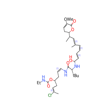 CCNC(=O)OC(C/C=C\NC(=O)C(NC(O)/C=C/C=C\C(C)=C\C(C)C1CC=C(OC)C(=O)O1)C(C)(C)C)C/C=C(\C)Cl